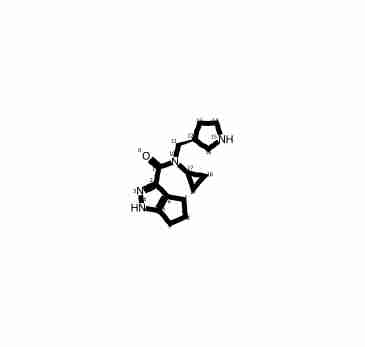 O=C(c1n[nH]c2c1CCC2)N(C[C@H]1CCNC1)C1CC1